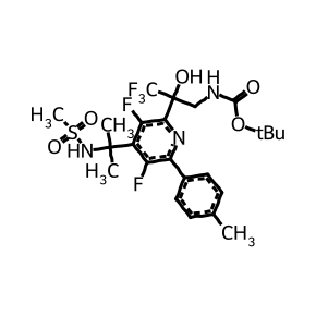 Cc1ccc(-c2nc(C(O)(CNC(=O)OC(C)(C)C)C(F)(F)F)c(F)c(C(C)(C)NS(C)(=O)=O)c2F)cc1